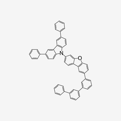 c1ccc(-c2cccc(-c3cccc(-c4ccc5oc6cc(-n7c8ccc(-c9ccccc9)cc8c8cc(-c9ccccc9)ccc87)ccc6c5c4)c3)c2)cc1